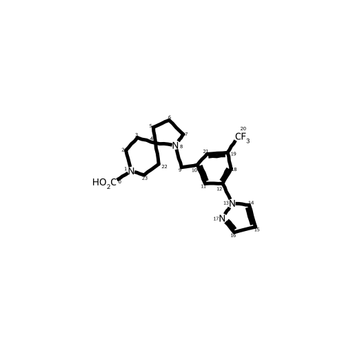 O=C(O)N1CCC2(CCCN2Cc2cc(-n3cccn3)cc(C(F)(F)F)c2)CC1